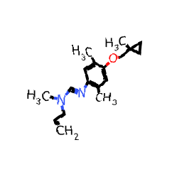 C=CCN(C)C=Nc1cc(C)c(OCC2(C)CC2)cc1C